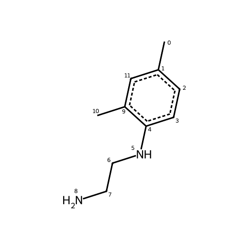 Cc1ccc(NCCN)c(C)c1